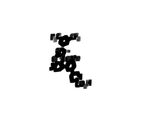 COc1ccc(-c2ccc(C(=O)O)nc2)cc1C1=C(CN2C(=O)O[C@H](c3cc(C(F)(F)F)cc(C(F)(F)F)c3)[C@@H]2C)CC(C)(C)CC1